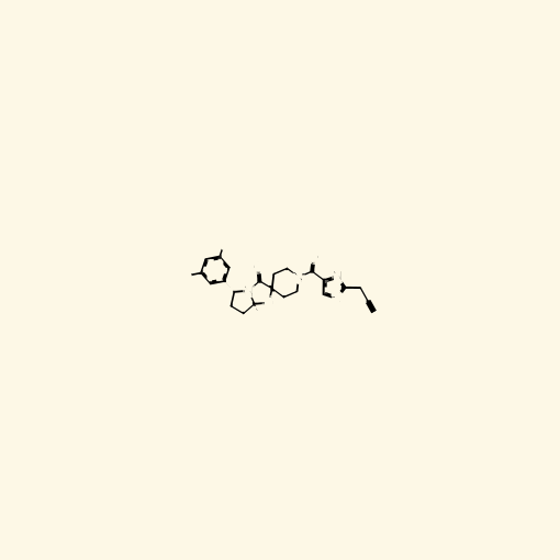 C#CCc1nc(C(=O)N2CCC3(CC2)O[C@@H]2CC[C@@H](c4cc(F)cc(F)c4)N2C3=O)cs1